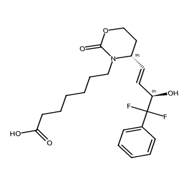 O=C(O)CCCCCCN1C(=O)OCC[C@@H]1C=C[C@@H](O)C(F)(F)c1ccccc1